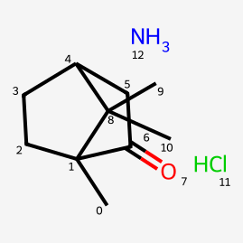 CC12CCC(CC1=O)C2(C)C.Cl.N